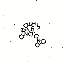 CC1(C)c2ccccc2C2(c3ccccc3-n3c4ccccc4c4cccc2c43)c2cc(-c3ccc(-n4c5ccccc5c5ccccc54)cc3)ccc21